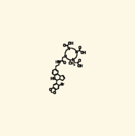 CC1CN(CC(=O)NCCc2ccc3c(c2)C2C=CCC2C(c2cc4c(cc2Br)OCO4)N3)CCN(C(=O)O)CCN(C(=O)O)CCN1CC(=O)O